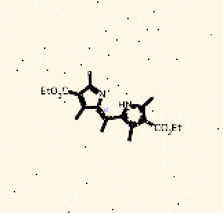 CCOC(=O)C1=C(C)/C(=C(\C)c2[nH]c(C)c(C(=O)OCC)c2C)N=C1C